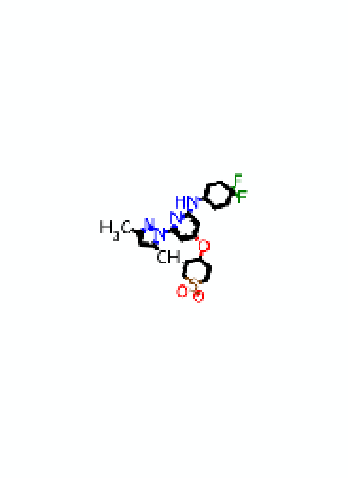 Cc1cc(C)n(-c2cc(OC3CCS(=O)(=O)CC3)cc(NC3CCC(F)(F)CC3)n2)n1